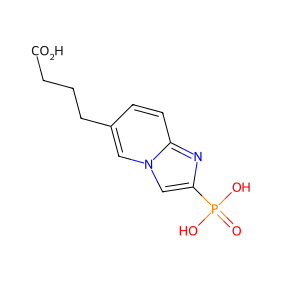 O=C(O)CCCc1ccc2nc(P(=O)(O)O)cn2c1